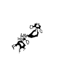 O=C(Nc1cc(F)c(F)c(F)c1)N[C@@H]1CCCN(c2c(Cl)cncc2Cl)C1